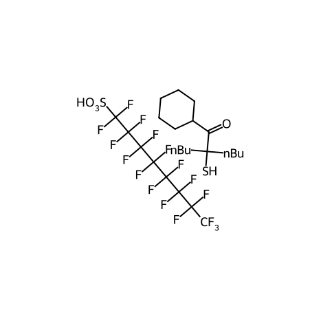 CCCCC(S)(CCCC)C(=O)C1CCCCC1.O=S(=O)(O)C(F)(F)C(F)(F)C(F)(F)C(F)(F)C(F)(F)C(F)(F)C(F)(F)C(F)(F)F